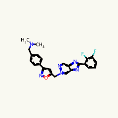 CN(C)Cc1ccc(-c2cc(Cn3cc4nc(-c5cccc(F)c5F)nc-4cn3)on2)cc1